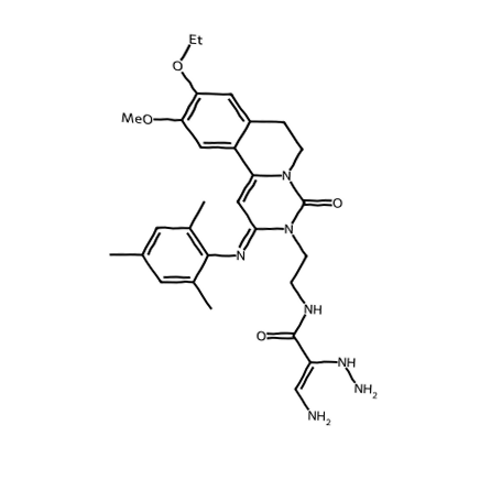 CCOc1cc2c(cc1OC)-c1c/c(=N\c3c(C)cc(C)cc3C)n(CCNC(=O)/C(=C/N)NN)c(=O)n1CC2